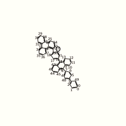 c1ccc(-c2ccc(-c3c4ccccc4c(-c4ccc5c(c4)oc4ccc6c7ccccc7c7ccccc7c6c45)c4ccccc34)cc2)cc1